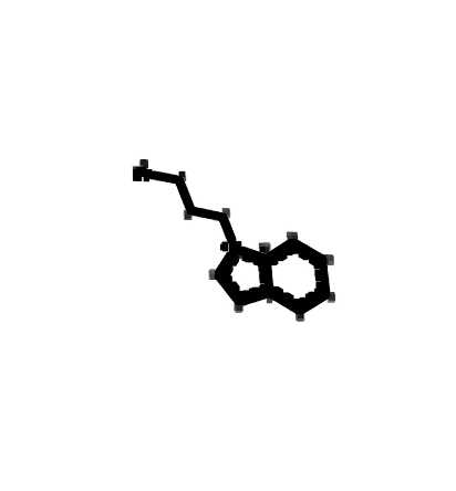 CC(C)CCCn1ccc2ccccc21